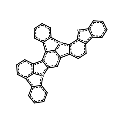 c1ccc2c(c1)oc1c2ccc2c3cc4c(c5cccc6c7ccccc7n4c65)c4c5ccccc5n(c21)c34